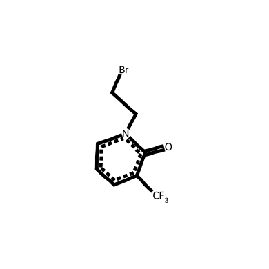 O=c1c(C(F)(F)F)cccn1CCBr